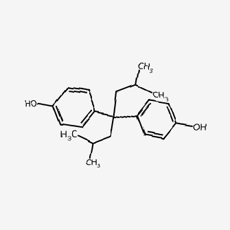 CC(C)CC(CC(C)C)(c1ccc(O)cc1)c1ccc(O)cc1